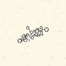 CC[C@H]1O[C@@H](n2cnc3c(NC(=O)c4ccccc4)ncnc32)C(OCCOC)[C@H]1O[P@]1O[C@@](C)(c2ccccc2)[C@H]2CCCN21